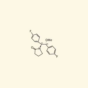 CO[C@H](c1ccc(F)cc1)[C@H](c1ccc(F)cc1)N1CCCC1=O